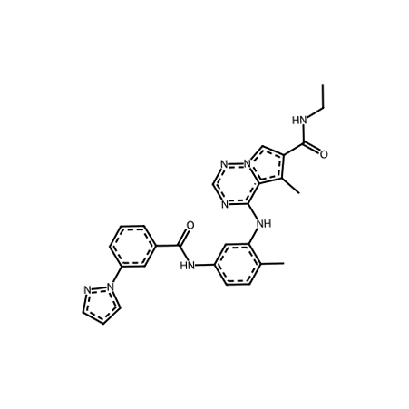 CCNC(=O)c1cn2ncnc(Nc3cc(NC(=O)c4cccc(-n5cccn5)c4)ccc3C)c2c1C